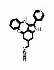 [N-]=[N+]=NCC1CC(=O)c2c([nH]c(-c3ccncc3)c2Nc2ccccc2)C1